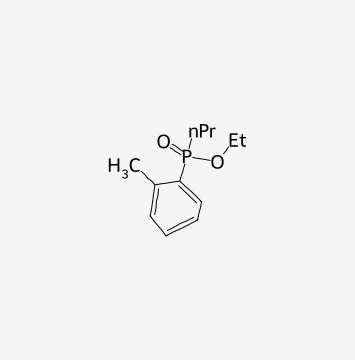 CCCP(=O)(OCC)c1ccccc1C